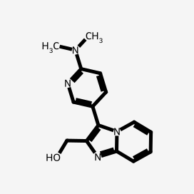 CN(C)c1ccc(-c2c(CO)nc3ccccn23)cn1